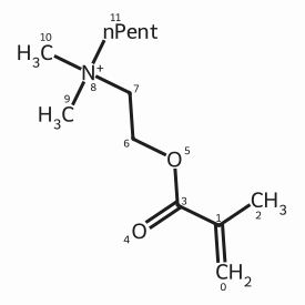 C=C(C)C(=O)OCC[N+](C)(C)CCCCC